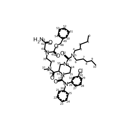 CCCCCN(CCCCC)C(=O)N1CCN(C(=O)N(c2ccccc2)c2cccc(Cl)c2)C(C(=O)N(C)CCN(CC(N)=O)C(=O)OCc2ccccc2)C1